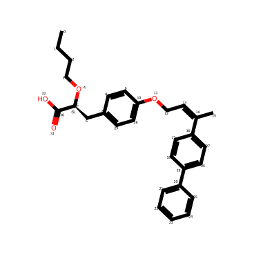 CCCCO[C@@H](Cc1ccc(OCC=C(C)c2ccc(-c3ccccc3)cc2)cc1)C(=O)O